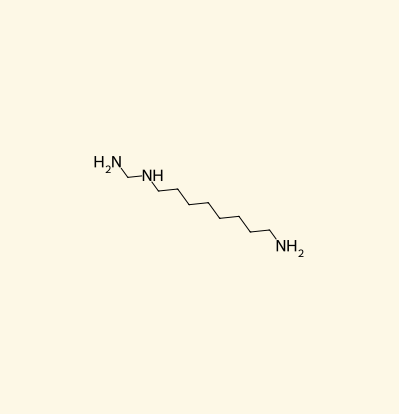 NCCCCCCCCNCN